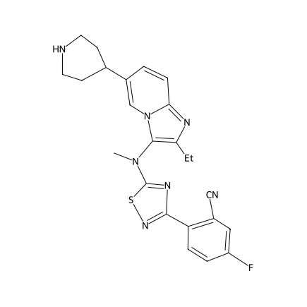 CCc1nc2ccc(C3CCNCC3)cn2c1N(C)c1nc(-c2ccc(F)cc2C#N)ns1